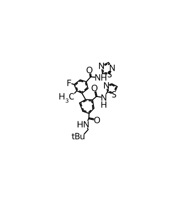 Cc1c(F)cc(C(=O)Nc2ncns2)cc1-c1ccc(C(=O)NCC(C)(C)C)cc1C(=O)Nc1nccs1